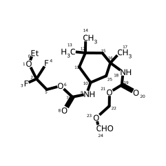 CCOC(F)(F)COC(=O)NC1CC(C)(C)CC(C)(NC(=O)OCOC=O)C1